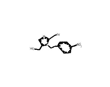 O=[N+]([O-])c1ccc(Cn2c(CO)cnc2S)cc1